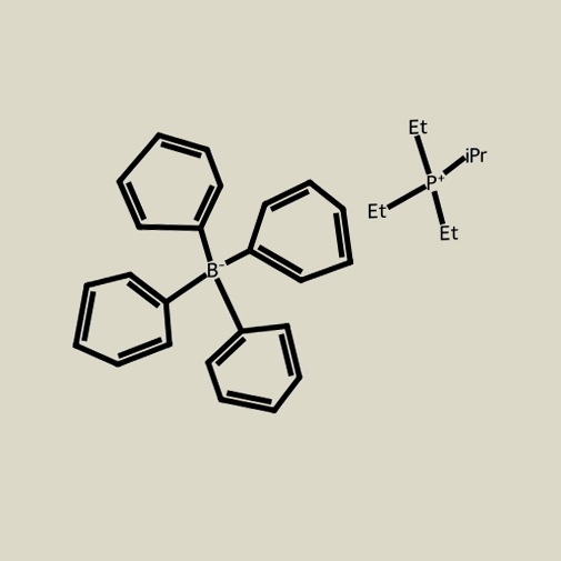 CC[P+](CC)(CC)C(C)C.c1ccc([B-](c2ccccc2)(c2ccccc2)c2ccccc2)cc1